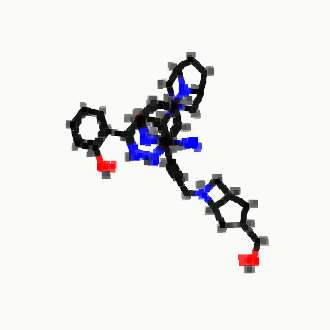 Nc1nnc(-c2ccccc2O)cc1N1CC2CCC(C1)N2c1ccnc(C#CCN2CC3CC(CO)CC32)c1